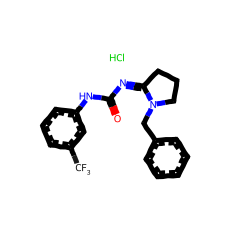 Cl.O=C(/N=C1/CCCN1Cc1ccccc1)Nc1cccc(C(F)(F)F)c1